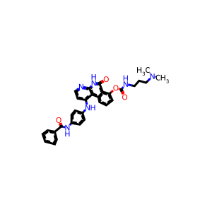 CN(C)CCCNC(=O)Oc1cccc2c1c(=O)[nH]c1nccc(Nc3ccc(NC(=O)c4ccccc4)cc3)c12